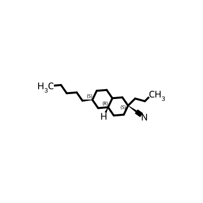 CCCCC[C@H]1CCC2C[C@](C#N)(CCC)CC[C@@H]2C1